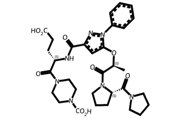 C[C@H](Oc1cc(C(=O)N[C@@H](CCC(=O)O)C(=O)N2CCN(C(=O)O)CC2)nn1-c1ccccc1)C(=O)N1CCC[C@H]1C(=O)N1CCCC1